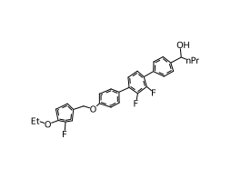 CCCC(O)c1ccc(-c2ccc(-c3ccc(OCc4ccc(OCC)c(F)c4)cc3)c(F)c2F)cc1